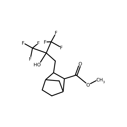 COC(=O)C1C2CCC(C2)C1CC(O)(C(F)(F)F)C(F)(F)F